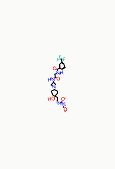 COC/N=C(\N=C/C[C@]1(O)CC[C@H](N2CC(NC(=O)CNC(=O)c3cccc(C(F)(F)F)c3)C2)CC1)OC